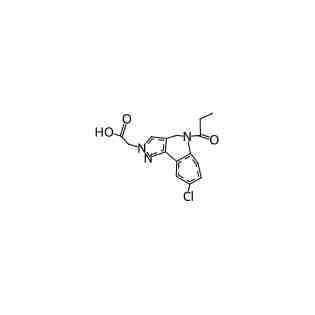 CCC(=O)N1Cc2cn(CC(=O)O)nc2-c2cc(Cl)ccc21